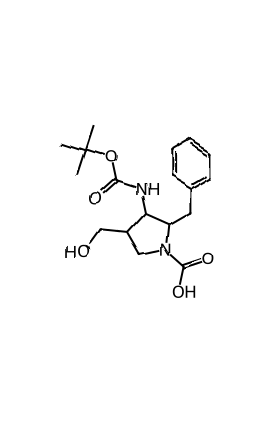 CC(C)(C)OC(=O)NC1C(CO)CN(C(=O)O)C1Cc1ccccc1